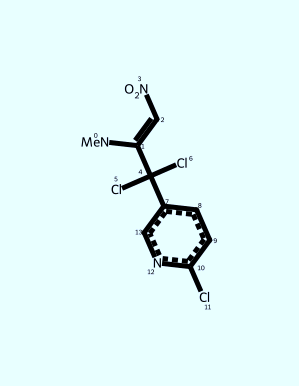 CNC(=C[N+](=O)[O-])C(Cl)(Cl)c1ccc(Cl)nc1